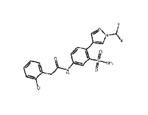 NS(=O)(=O)c1cc(NC(=O)Cc2ccccc2Cl)ccc1-c1cnn(C(F)F)c1